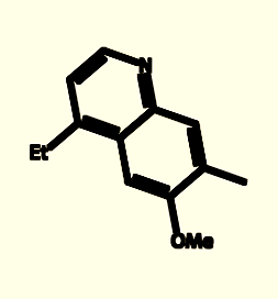 CCc1ccnc2cc(C)c(OC)cc12